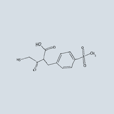 CS(=O)(=O)c1ccc(CC(C(=O)O)C(=O)CS)cc1